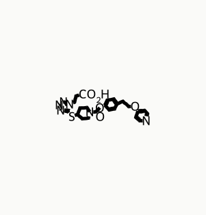 O=C(O)CCn1nnnc1SC1CCN(C(=O)Oc2ccc(CCOc3ccncc3)cc2)CC1